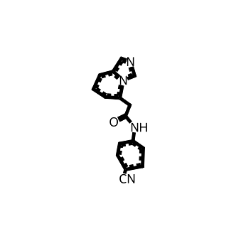 N#Cc1ccc(NC(=O)Cc2cccc3cncn23)cc1